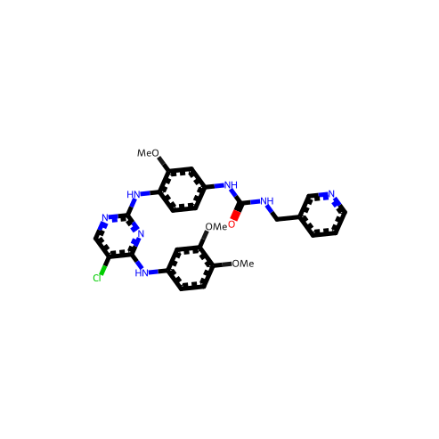 COc1cc(NC(=O)NCc2cccnc2)ccc1Nc1ncc(Cl)c(Nc2ccc(OC)c(OC)c2)n1